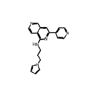 c1ccn(CCCNc2nc(-c3ccncc3)cc3cnccc23)c1